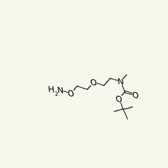 CN(CCOCCON)C(=O)OC(C)(C)C